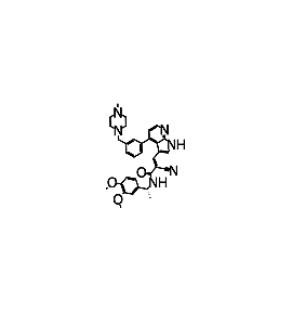 COc1ccc([C@@H](C)NC(=O)/C(C#N)=C/c2c[nH]c3nccc(-c4cccc(CN5CCN(C)CC5)c4)c23)cc1OC